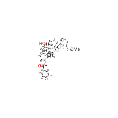 COCCC[C@@H](C)[C@H]1CC[C@H]2[C@@H]3[C@H](O)CC4CC[C@H](OC(=O)c5ccccc5)C[C@]4(C)[C@H]3CC[C@]12C